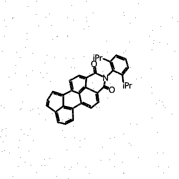 CC(C)c1cccc(C(C)C)c1N1C(=O)c2ccc3c4cccc5cccc(c6ccc(c2c36)C1=O)c54